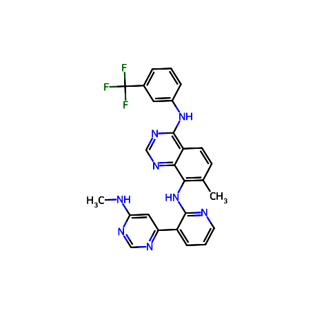 CNc1cc(-c2cccnc2Nc2c(C)ccc3c(Nc4cccc(C(F)(F)F)c4)ncnc23)ncn1